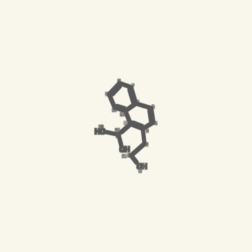 OCCc1ccc2ccccc2c1B(O)O